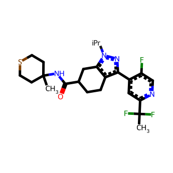 CC(C)n1nc(-c2cc(C(C)(F)F)ncc2F)c2c1CC(C(=O)NC1(C)CCSCC1)CC2